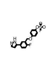 O=S(=O)(F)Oc1ccc(OCc2cc(-c3ccn[nH]3)ccc2F)cc1